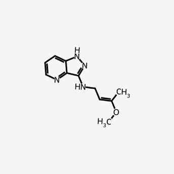 CO/C(C)=C/CNc1n[nH]c2cccnc12